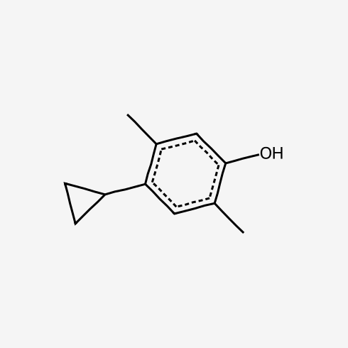 Cc1cc(C2CC2)c(C)cc1O